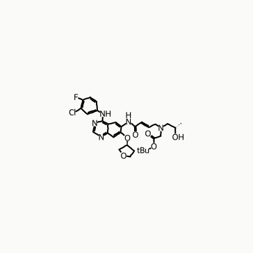 C[C@H](O)CN(CC=CC(=O)Nc1cc2c(Nc3ccc(F)c(Cl)c3)ncnc2cc1O[C@H]1CCOC1)CC(=O)OC(C)(C)C